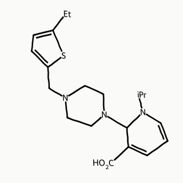 CCc1ccc(CN2CCN(C3C(C(=O)O)=CC=CN3C(C)C)CC2)s1